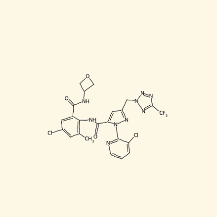 Cc1cc(Cl)cc(C(=O)NC2COC2)c1NC(=O)c1cc(Cn2nnc(C(F)(F)F)n2)nn1-c1ncccc1Cl